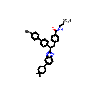 CC1(C)CCC(c2ccc3[nH]c(C(Cc4ccc(C(=O)NCCS(=O)(=O)O)cc4)c4ccc(-c5ccc(C(C)(C)C)cc5)cc4)nc3c2)CC1